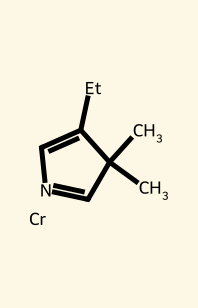 CCC1=CN=CC1(C)C.[Cr]